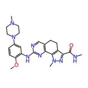 CNC(=O)c1nn(C)c2c1CCc1cnc(Nc3cc(N4CCN(C)CC4)ccc3OC)nc1-2